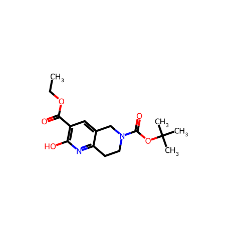 CCOC(=O)c1cc2c(nc1O)CCN(C(=O)OC(C)(C)C)C2